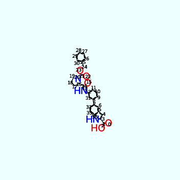 O=C(O)c1cc2cc(-c3cccc(NC(=O)C4CCCN4C(=O)OCc4ccccc4)c3)ccc2[nH]1